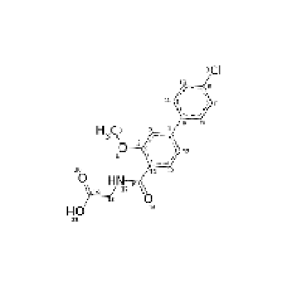 COc1cc(-c2ccc(Cl)cc2)ccc1C(=O)NCC(=O)O